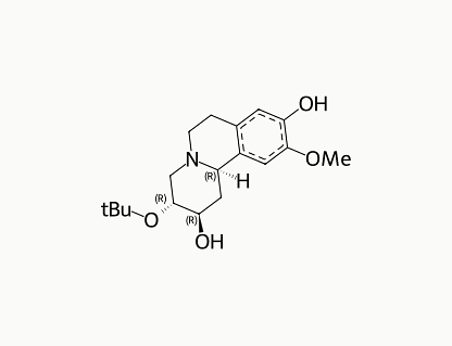 COc1cc2c(cc1O)CCN1C[C@@H](OC(C)(C)C)[C@H](O)C[C@H]21